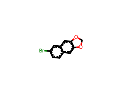 Brc1ccc2cc3c(cc2c1)OCO3